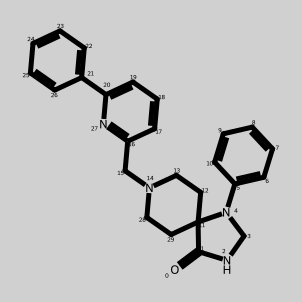 O=C1NCN(c2ccccc2)C12CCN(Cc1cccc(-c3ccccc3)n1)CC2